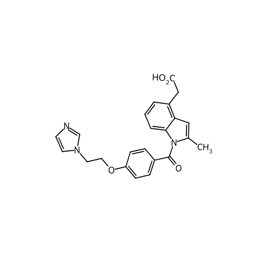 Cc1cc2c(CC(=O)O)cccc2n1C(=O)c1ccc(OCCn2ccnc2)cc1